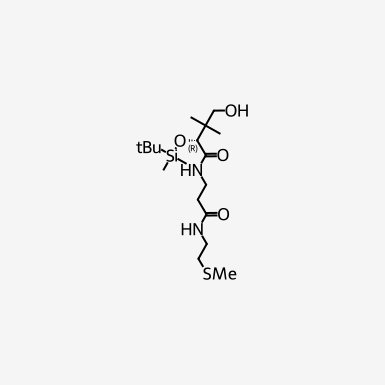 CSCCNC(=O)CCNC(=O)[C@H](O[Si](C)(C)C(C)(C)C)C(C)(C)CO